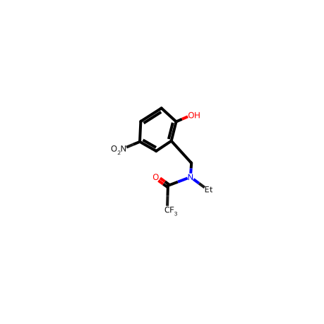 CCN(Cc1cc([N+](=O)[O-])ccc1O)C(=O)C(F)(F)F